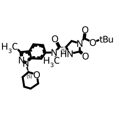 Cc1nn([C@@H]2CCCCO2)c2cc(N(C)C(=O)[C@@H]3CN(C(=O)OC(C)(C)C)C(=O)N3)ccc12